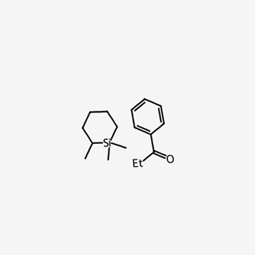 CC1CCCC[Si]1(C)C.CCC(=O)c1ccccc1